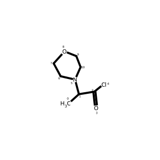 CC(C(=O)Cl)N1CCOCC1